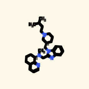 CC(C)CCN1CCC[C@@H](Cn2c(CN(C)[C@H]3CCCc4cccnc43)nc3ccccc32)C1